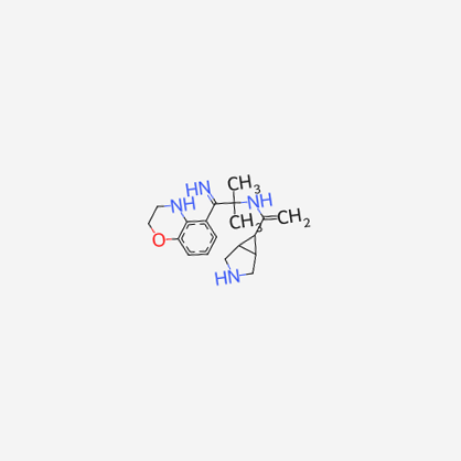 C=C(NC(C)(C)C(=N)c1cccc2c1NCCO2)C1C2CNCC21